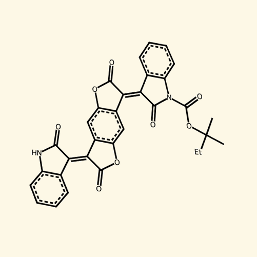 CCC(C)(C)OC(=O)N1C(=O)/C(=C2/C(=O)Oc3cc4c(cc32)OC(=O)/C4=C2/C(=O)Nc3ccccc32)c2ccccc21